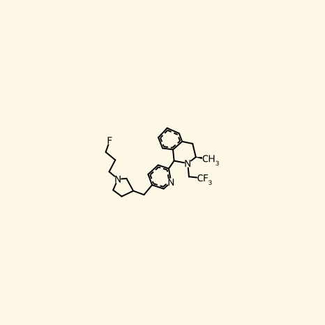 C[C@@H]1Cc2ccccc2C(c2ccc(CC3CCN(CCCF)C3)cn2)N1CC(F)(F)F